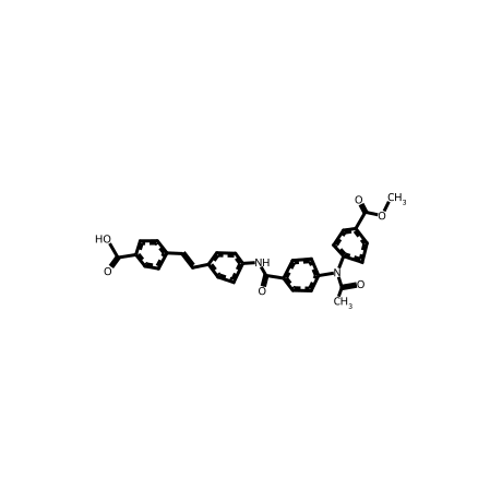 COC(=O)c1ccc(N(C(C)=O)c2ccc(C(=O)Nc3ccc(C=Cc4ccc(C(=O)O)cc4)cc3)cc2)cc1